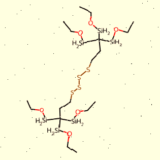 CCO[SiH2]C(CCSSSSCCC([SiH2]OCC)([SiH2]OCC)[SiH2]OCC)([SiH2]OCC)[SiH2]OCC